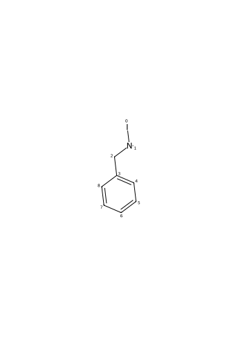 I[N]Cc1ccccc1